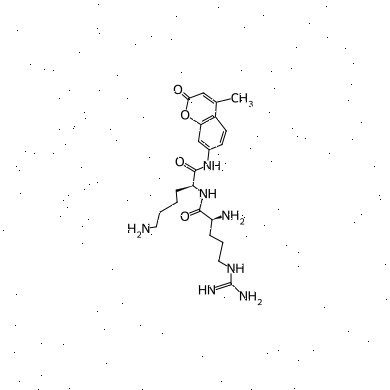 Cc1cc(=O)oc2cc(NC(=O)[C@H](CCCCN)NC(=O)[C@@H](N)CCCNC(=N)N)ccc12